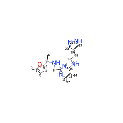 Cc1ccc([C@@H](C)NCc2nc(C)c(C)c(NCCc3cn[nH]c3)n2)o1